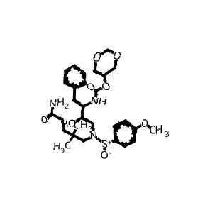 COc1ccc([S+]([O-])N(CC(O)C(Cc2ccccc2)NC(=O)OC2COCOC2)CC(C)(C)CCC(N)=O)cc1